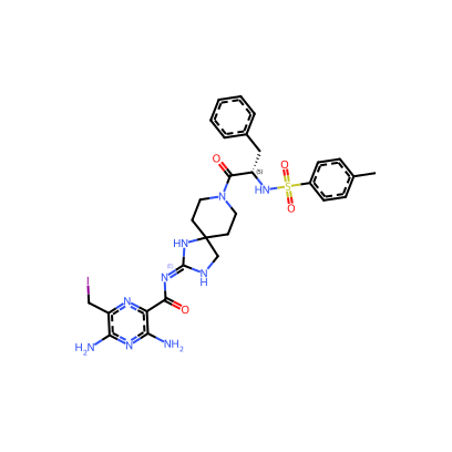 Cc1ccc(S(=O)(=O)N[C@@H](Cc2ccccc2)C(=O)N2CCC3(CC2)CN/C(=N\C(=O)c2nc(CI)c(N)nc2N)N3)cc1